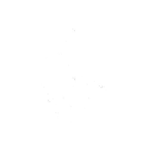 CN(C)CCCOc1cc2c(cc1O)c1c3c(c(-c4ccccc4Cl)cc1n2CCC(N)=O)C(=O)NC3=O